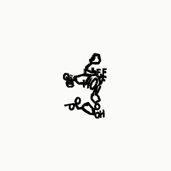 CCOC(=O)Cc1ccc(OC2CCN(CC(O)(c3cn(Cc4ccccc4)c4cc([N+](=O)[O-])ccc34)C(F)(F)F)CC2)c(O)c1